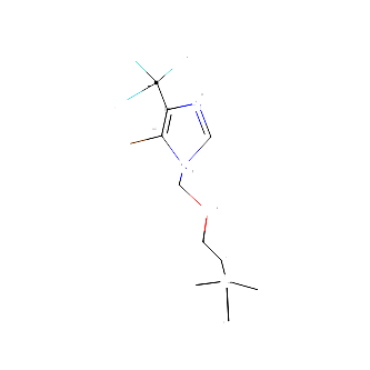 C[Si](C)(C)CCOCn1cnc(C(F)(F)F)c1Br